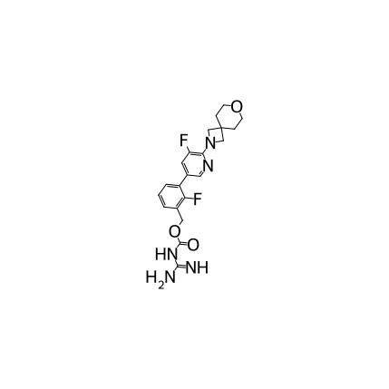 N=C(N)NC(=O)OCc1cccc(-c2cnc(N3CC4(CCOCC4)C3)c(F)c2)c1F